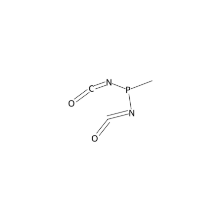 CP(N=C=O)N=C=O